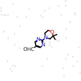 CC1(C)CN(c2ncc(C=O)cn2)CCO1